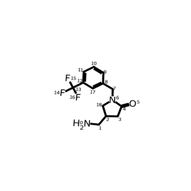 NCC1CC(=O)N(Cc2cccc(C(F)(F)F)c2)C1